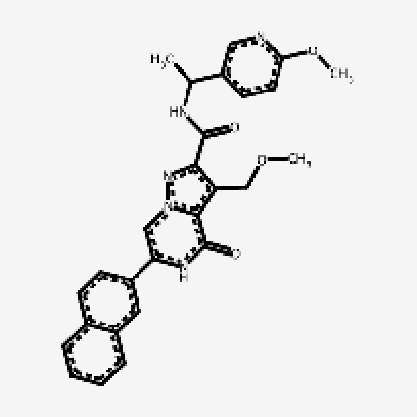 COCc1c(C(=O)NC(C)c2ccc(OC)nc2)nn2cc(-c3ccc4ccccc4c3)[nH]c(=O)c12